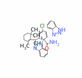 CC1=C(C(C)C2C=C(Cl)C=CC2(C(N)=O)n2nnc3ccccc32)C(C)(C)CCC1.c1ccc2[nH]nnc2c1